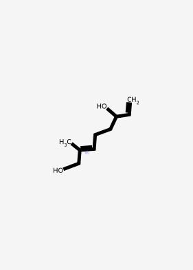 C=CC(O)CC/C=C(\C)CO